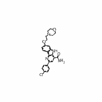 NC(=O)c1cc(-c2ccc(Cl)cc2)nc2c1[nH]c1cc(OCCN3CCOCC3)ccc12